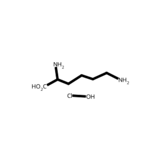 NCCCCC(N)C(=O)O.OCl